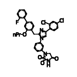 CCCOc1cc(-c2ccccc2F)ccc1Cc1nc(-c2ccc(Cl)cc2Cl)cn1-c1cccc(N2CC(=O)NS2(=O)=O)c1